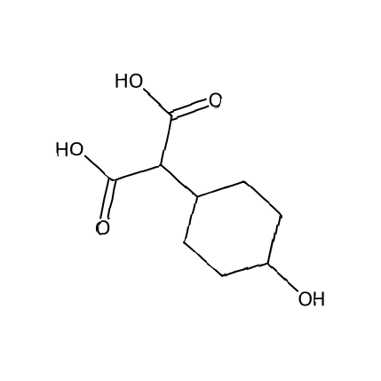 O=C(O)C(C(=O)O)C1CCC(O)CC1